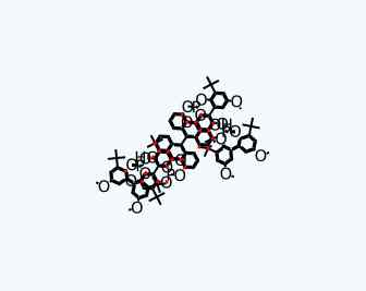 COc1cc(-c2cc(OC)cc(C(C)(C)C)c2Op2oc3c(C(C)(C)C)cc(OC)cc3c3cc(OC)cc(C(C)(C)C)c3o2)c(OP2Oc3cccc4c(-c5c6cccc(O)c6c6c7c(cccc57)OP(Oc5c(-c7cc(OC)cc(C(C)(C)C)c7Op7oc8c(C(C)(C)C)cc(OC)cc8c8cc(OC)cc(C(C)(C)C)c8o7)cc(OC)cc5C(C)(C)C)O6)c5cccc(O)c5c(c34)O2)c(C(C)(C)C)c1